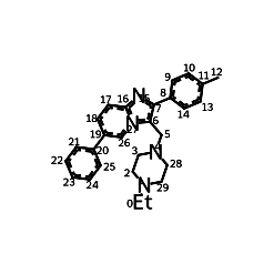 CCN1CCN(Cc2c(-c3ccc(C)cc3)nc3ccc(-c4ccccc4)cn23)CC1